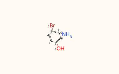 N.Oc1ccc(Br)cc1